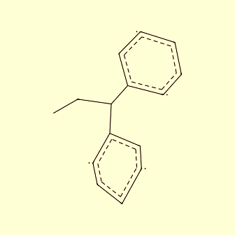 CCC(c1[c]cc[c]c1)c1[c]cc[c]c1